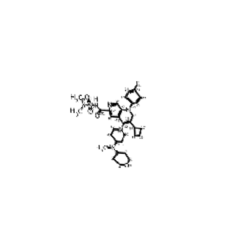 CN(C1CCOCC1)C1CCN(C2=C(C3CCC3)CN(c3ccc(F)cc3)c3cnc(C(=O)NS(=O)(=O)N(C)C)cc32)CC1